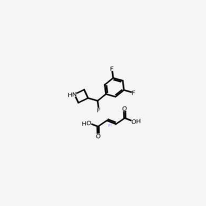 Fc1cc(F)cc(C(F)C2CNC2)c1.O=C(O)/C=C/C(=O)O